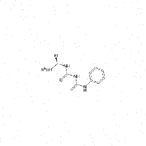 C=C(NC(=O)N[C@H](CC)CCCCC)Nc1ccccc1